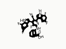 N#Cc1c(-c2c[nH]c3c(F)cc(F)cc23)nc(NC2C3CCC(CC3)C2C(=O)O)c(F)c1-c1c[nH]c2c(F)cc(F)cc12